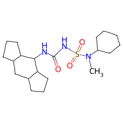 CN(C1CCCCC1)S(=O)(=O)NC(=O)NC1C2CCCC2CC2CCCC21